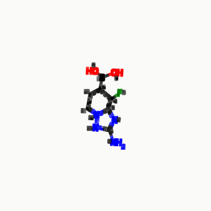 Nc1nc2c(F)c(B(O)O)ccn2n1